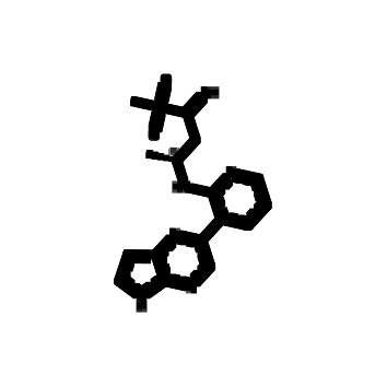 C[C@H](CC(=N)S(C)(=O)=O)Nc1ncccc1-c1cnc2[nH]ccc2n1